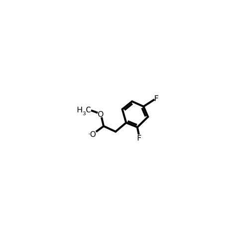 COC([O])Cc1ccc(F)cc1F